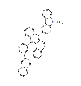 Cn1c2ccccc2c2cc(-c3c4ccccc4c(-c4cccc(-c5ccc6ccccc6c5)c4)c4c3ccc3ccccc34)ccc21